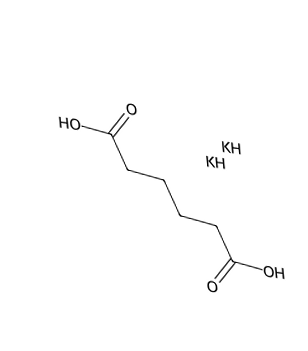 O=C(O)CCCCC(=O)O.[KH].[KH]